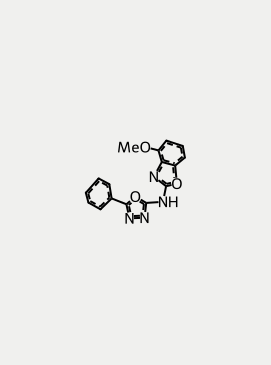 COc1cccc2oc(Nc3nnc(-c4ccccc4)o3)nc12